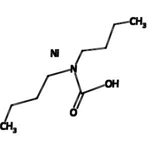 CCCCN(CCCC)C(=O)O.[Ni]